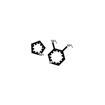 Nc1ccncc1N.c1cc[nH]c1